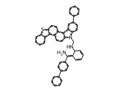 N/C(=C1/C=CC=CC1NCn1c2ccc(-c3ccccc3)cc2c2c3ccc4sc5ccccc5c4c3ccc21)c1ccc(-c2ccccc2)cc1